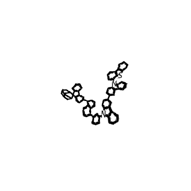 c1cc(-c2cccc3c(-c4ccc5c(c4)-c4ccccc4C54C5CC6CC(C5)CC4C6)cccc23)cc(-n2c3ccccc3c3cc(-c4ccc5c(c4)c4ccccc4n5-c4cccc5c4sc4ccccc45)ccc32)c1